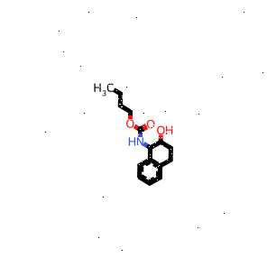 CCCCOC(=O)NC1c2ccccc2CCC1O